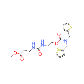 COC(=O)CCNC(=O)NCCOC(=O)N(Cc1cccs1)Cc1cccs1